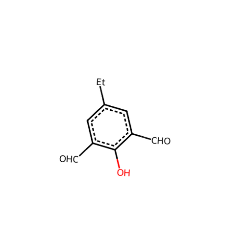 CCc1cc(C=O)c(O)c(C=O)c1